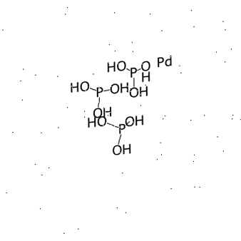 OP(O)O.OP(O)O.OP(O)O.[Pd]